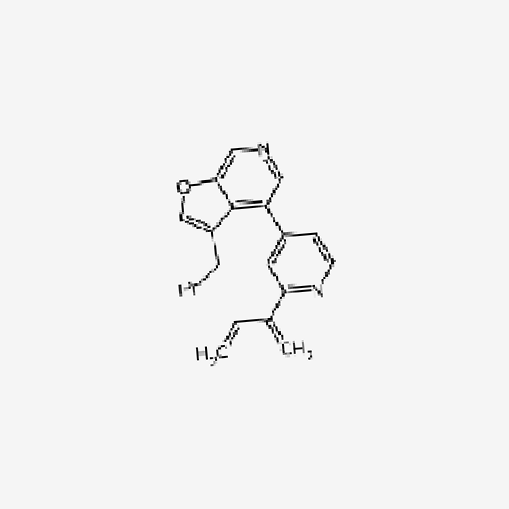 C=CC(=C)c1cc(-c2cncc3occ(CC(C)C)c23)ccn1